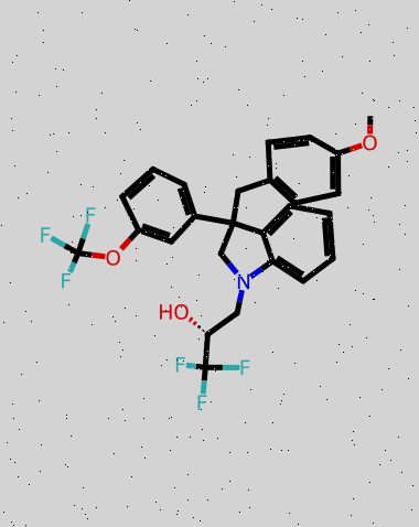 COc1ccc(CC2(c3cccc(OC(F)(F)F)c3)CN(C[C@@H](O)C(F)(F)F)c3ccccc32)cc1